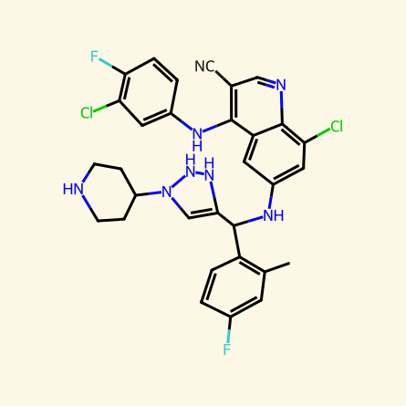 Cc1cc(F)ccc1C(Nc1cc(Cl)c2ncc(C#N)c(Nc3ccc(F)c(Cl)c3)c2c1)C1=CN(C2CCNCC2)NN1